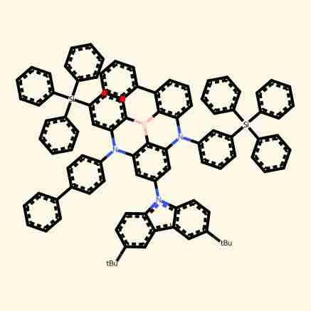 CC(C)(C)c1ccc2c(c1)c1cc(C(C)(C)C)ccc1n2-c1cc2c3c(c1)N(c1cccc([Si](c4ccccc4)(c4ccccc4)c4ccccc4)c1)c1cccc(-c4ccccc4)c1B3c1ccc([Si](c3ccccc3)(c3ccccc3)c3ccccc3)cc1N2c1ccc(-c2ccccc2)cc1